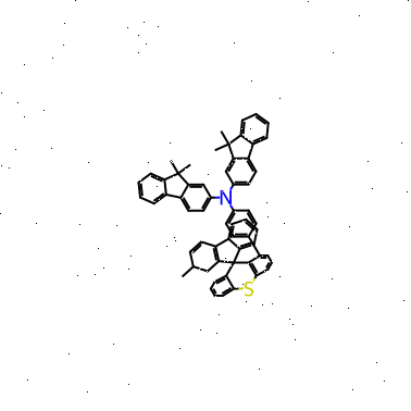 CC1C=CC2=C(C1)C1(c3ccccc3Sc3cccc(-c4ccc(N(c5ccc6c(c5)C(C)(C)c5ccccc5-6)c5ccc6c(c5)C(C)(C)c5ccccc5-6)cc4)c31)c1ccccc12